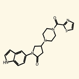 O=C(c1nccs1)N1CCN(C2CC(=O)N(c3ccc4[nH]ccc4c3)C2)CC1